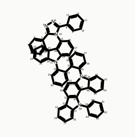 c1ccc(-c2nnc(-c3ccccc3)n2-c2cccc3c2c2ccccc2n3-c2ccccc2-c2ccccc2-n2c3ccccc3c3c2ccc2c4ccccc4n(-c4ccccc4)c23)cc1